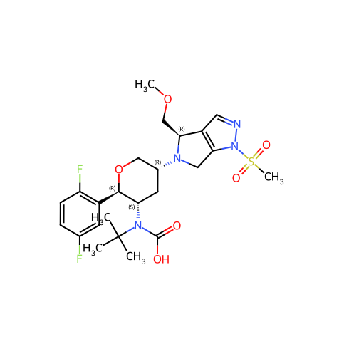 COC[C@H]1c2cnn(S(C)(=O)=O)c2CN1[C@H]1CO[C@H](c2cc(F)ccc2F)[C@@H](N(C(=O)O)C(C)(C)C)C1